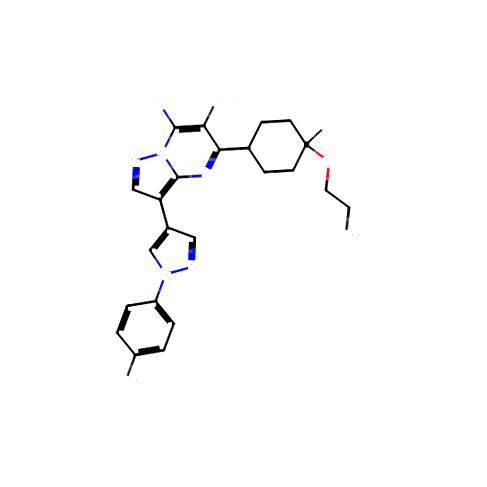 COCCOC1(C(=O)O)CCC(c2nc3c(-c4cnn(-c5ccc(SC)cc5)c4)cnn3c(N)c2SC)CC1